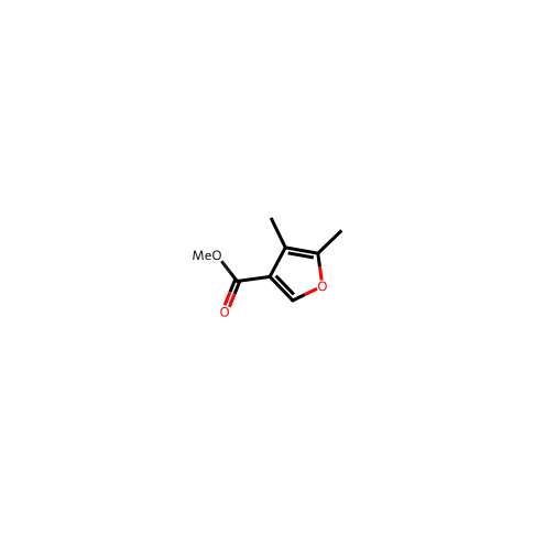 COC(=O)c1coc(C)c1C